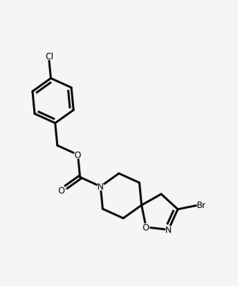 O=C(OCc1ccc(Cl)cc1)N1CCC2(CC1)CC(Br)=NO2